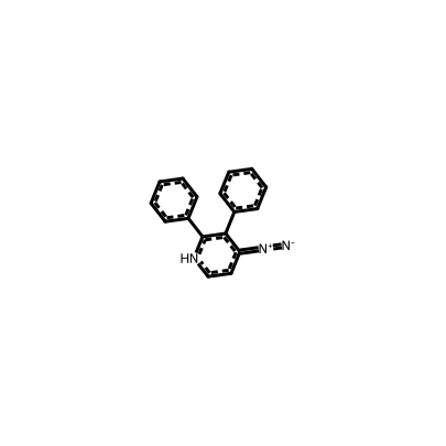 [N-]=[N+]=c1cc[nH]c(-c2ccccc2)c1-c1ccccc1